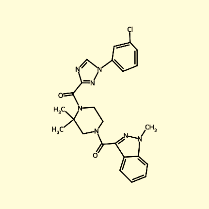 Cn1nc(C(=O)N2CCN(C(=O)c3ncn(-c4cccc(Cl)c4)n3)C(C)(C)C2)c2ccccc21